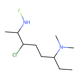 CCC(CCC(Cl)C(C)NF)N(C)C